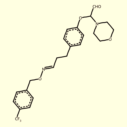 O=CC(Oc1ccc(CCC=NOCc2ccc(C(F)(F)F)cc2)cc1)N1CCOCC1